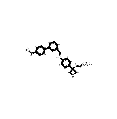 CCOC(=O)COC1(c2ccc(OCc3cccc(-c4ccc(SC(C)C)cc4)c3)cc2)COC1